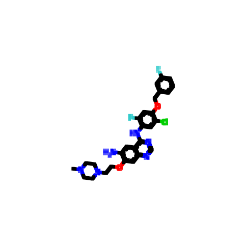 CN1CCN(CCOc2cc3ncnc(Nc4cc(Cl)c(OCc5cccc(F)c5)cc4F)c3cc2N)CC1